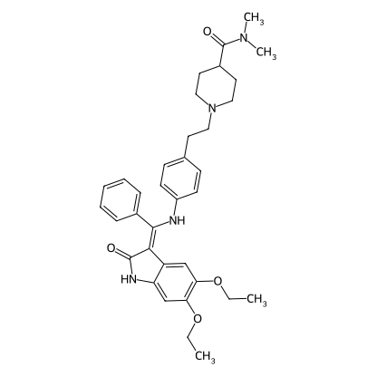 CCOc1cc2c(cc1OCC)C(=C(Nc1ccc(CCN3CCC(C(=O)N(C)C)CC3)cc1)c1ccccc1)C(=O)N2